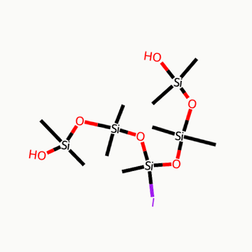 C[Si](C)(O)O[Si](C)(C)O[Si](C)(I)O[Si](C)(C)O[Si](C)(C)O